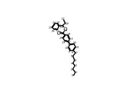 CCCCCCCCc1ccc(-c2ccc(C(=O)OC(CC)c3ccccc3)cc2)cc1